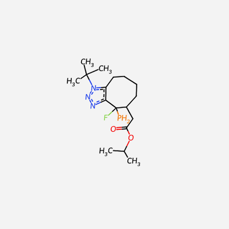 CC(C)OC(=O)CC1CCCCc2c(nnn2C(C)(C)C)C1(F)P